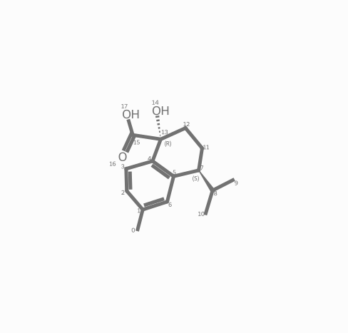 Cc1ccc2c(c1)[C@H](C(C)C)CC[C@]2(O)C(=O)O